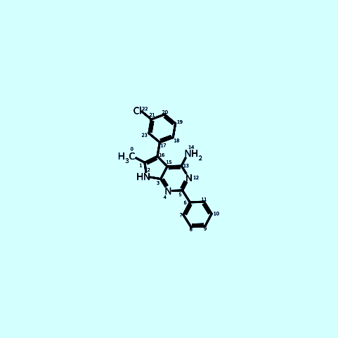 Cc1[nH]c2nc(-c3ccccc3)nc(N)c2c1-c1cccc(Cl)c1